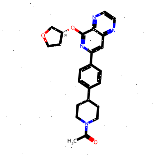 CC(=O)N1CCC(c2ccc(-c3cc4nccnc4c(O[C@@H]4CCOC4)n3)cc2)CC1